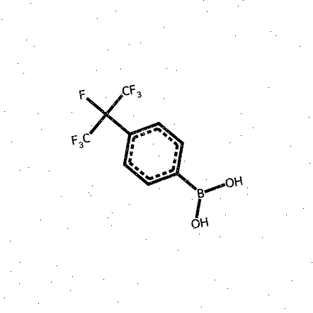 OB(O)c1ccc(C(F)(C(F)(F)F)C(F)(F)F)cc1